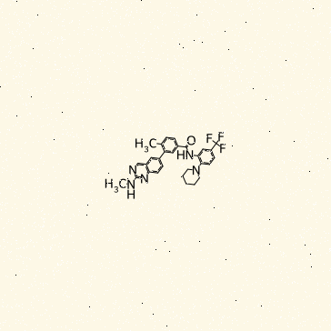 CNc1ncc2cc(-c3cc(C(=O)Nc4cc(C(F)(F)F)ccc4N4CCCCC4)ccc3C)ccc2n1